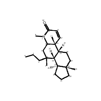 CCCC1(C)CC2N(C)C(=O)C=C[C@]2(C)[C@@H]2CC[C@]3(C)CCC[C@H]3[C@@H]21